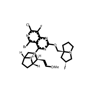 COC=C[C@H]1[C@@H]2CC[C@H](CN1c1nc(OC[C@@]34CCCN3C[C@H](F)C4)nc3c(F)c(Cl)nc(Br)c13)N2C(=O)O